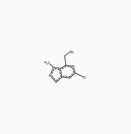 Cn1ncc2cc(Cl)nc(CO)c21